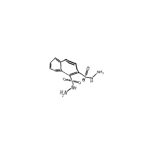 NNS(=O)(=O)c1ccc2ccccc2c1S(=O)(=O)NN